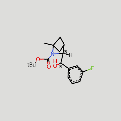 CC(C)(C)OC(=O)N1[C@@H]([C@H](O)c2cccc(F)c2)C2CC1(C)C2